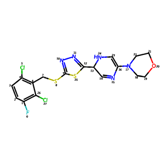 Fc1ccc(Cl)c(CSc2nnc(C3C=NC(N4CCOCC4)=CN3)s2)c1Cl